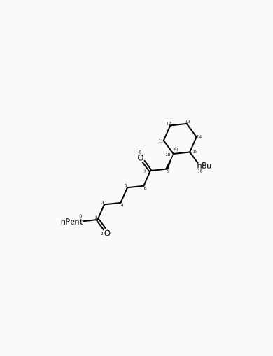 CCCCCC(=O)CCCCC(=O)C[C@H]1CCCCC1CCCC